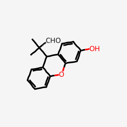 CC(C)(C=O)C1c2ccccc2Oc2cc(O)ccc21